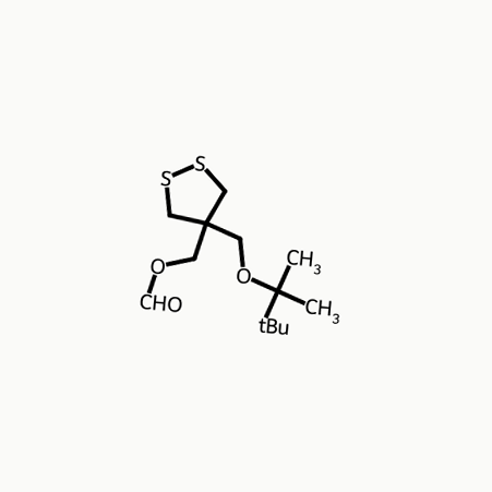 CC(C)(C)C(C)(C)OCC1(COC=O)CSSC1